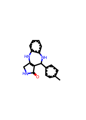 Cc1ccc(C2Nc3ccccc3NC3=C2C(=O)NC3)cc1